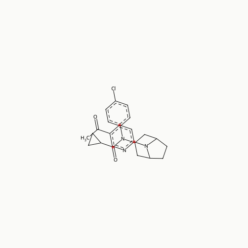 CC(=O)c1ccc(N2C3CCC2CC(N(C(=O)C2CC2)c2ccc(Cl)cc2)C3)nc1